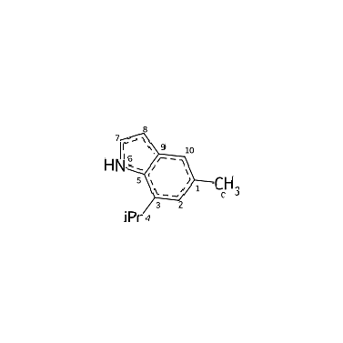 Cc1cc(C(C)C)c2[nH]ccc2c1